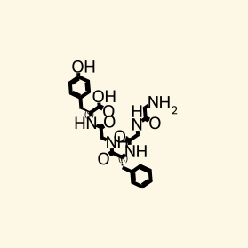 NCC(=O)NCC(=O)N[C@H](Cc1ccccc1)C(=O)NCC(=O)N[C@@H](Cc1ccc(O)cc1)C(=O)O